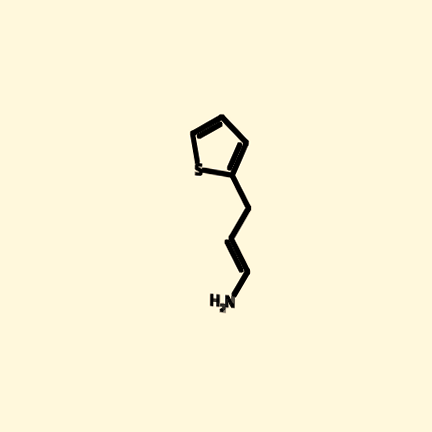 NC=CCc1cccs1